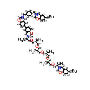 CC(COCC(C)COCC(C)COCC(C)N1COc2ccc(C(C)(C)C)cc2C1)COCC(C)COCC(C)N1COc2ccc(-c3ccc4c(c3)CN(Cc3ccc(CN5COc6ccc(C(C)(C)C)cc6C5)cc3)CO4)cc2C1